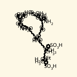 CC[N+]1=C(/C=C/C=C/C=C2/N(CCCCCC(=O)NC(CSSCCCC(=O)OCC#Cc3cn(C4OC(COOOO)C(O)C4O)c4ncnc(N)c34)C(=O)NCCCCCC(=O)NCC#Cc3cn(C4CC(OP(=O)(O)O)C(COP(=O)(O)O)O4)c(=O)nc3N)c3ccc(S(=O)(=O)O)cc3C2(C)C)C(C)(C)c2cc(S(=O)(=O)O)ccc21